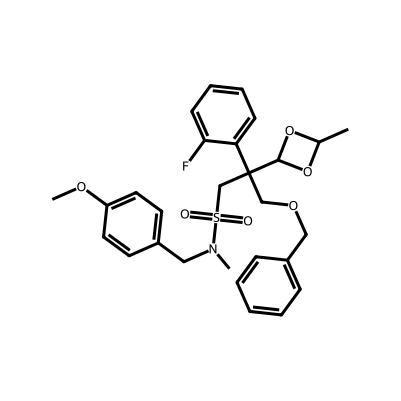 COc1ccc(CN(C)S(=O)(=O)CC(COCc2ccccc2)(c2ccccc2F)C2OC(C)O2)cc1